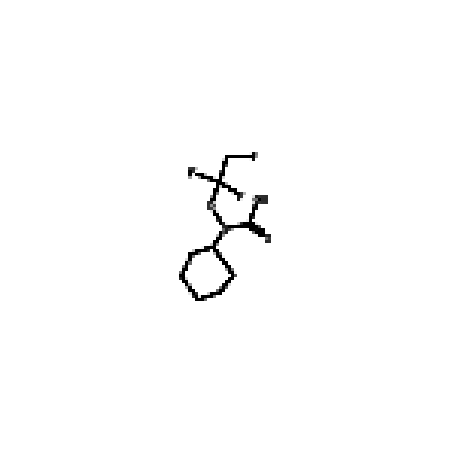 O=C(O)N(OC(F)(F)CF)C1CCCCC1